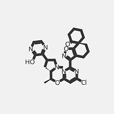 C[C@H](Oc1cc(Cl)nc(-c2noc3c2CCC[C@@]32CCCCC2=O)n1)[C@@H]1CC(c2nccnc2O)CN1C